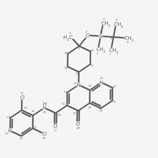 CC1(O[Si](C)(C)C(C)(C)C)CCC(n2cc(C(=O)Nc3c(Cl)cncc3Cl)c(=O)c3cccnc32)CC1